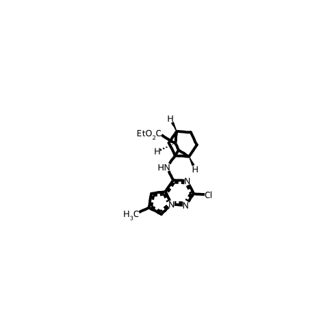 CCOC(=O)[C@@H]1C(Nc2nc(Cl)nn3cc(C)cc23)[C@H]2CC[C@@H]1CC2